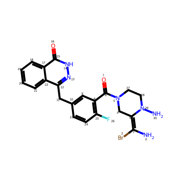 N/C(Br)=C1/CN(C(=O)c2cc(Cc3n[nH]c(=O)c4ccccc34)ccc2F)CCN1N